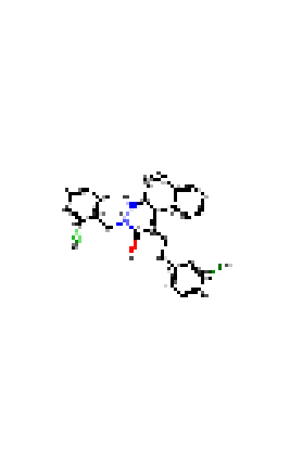 COc1ccccc1-c1c(C)nn(Cc2ccccc2Cl)c(=O)c1CCc1cccc(F)c1